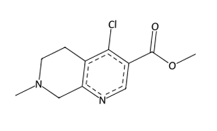 COC(=O)c1cnc2c(c1Cl)CCN(C)C2